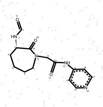 O=CN[C@H]1CCCCN(CC(=O)Nc2ccncc2)C1=O